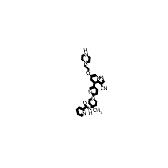 CC1(NC(=O)c2ccccn2)CCN(c2ccc(-c3cc(OCCN4CCNCC4)cn4ncc(C#N)c34)cn2)CC1